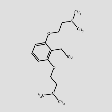 CN(C)CCOc1cccc(OCCN(C)C)c1CC(C)(C)C